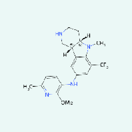 COc1nc(C)ccc1Nc1cc2c(c(C(F)(F)F)c1)N(C)[C@H]1CCNC[C@@H]21